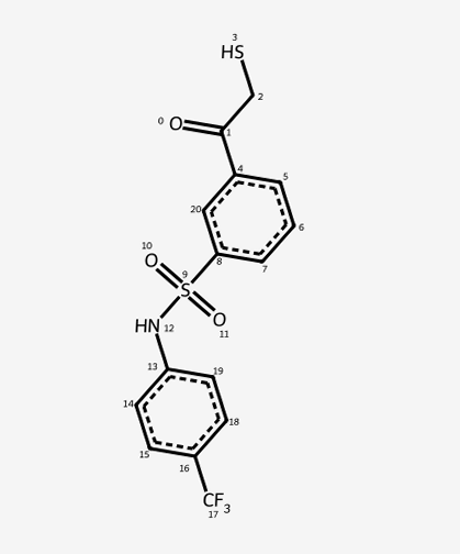 O=C(CS)c1cccc(S(=O)(=O)Nc2ccc(C(F)(F)F)cc2)c1